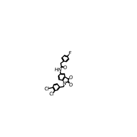 O=C(Cc1ccc(F)cc1)Nc1ccc2c(c1)C(=O)C(=O)N2Cc1ccc(Cl)c(Cl)c1